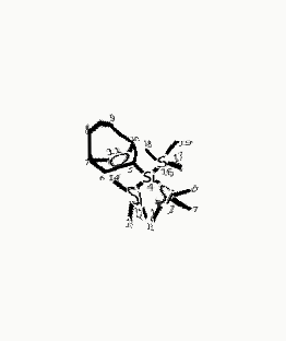 C[Si](C)(C)[Si](C1CC2CCC1O2)([Si](C)(C)C)S(C)(C)C